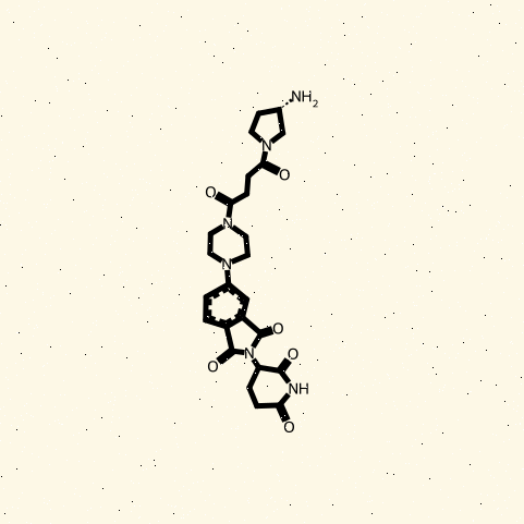 N[C@H]1CCN(C(=O)CCC(=O)N2CCN(c3ccc4c(c3)C(=O)N(C3CCC(=O)NC3=O)C4=O)CC2)C1